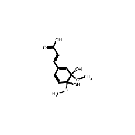 COC1(O)C=CC(C=CC(=O)O)=CC1(O)OC